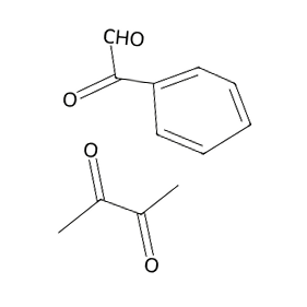 CC(=O)C(C)=O.O=CC(=O)c1ccccc1